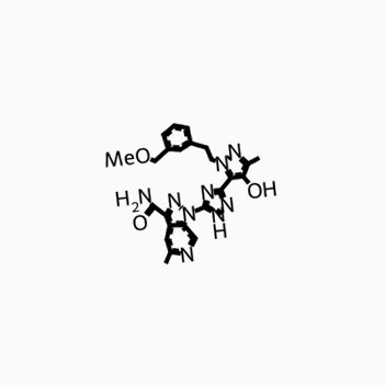 COCc1cccc(CCn2nc(C)c(O)c2-c2n[nH]c(-n3nc(C(N)=O)c4cc(C)ncc43)n2)c1